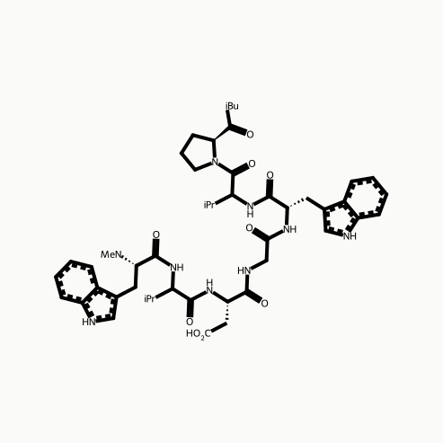 CCC(C)C(=O)[C@@H]1CCCN1C(=O)C(NC(=O)[C@H](Cc1c[nH]c2ccccc12)NC(=O)CNC(=O)[C@H](CC(=O)O)NC(=O)C(NC(=O)[C@H](Cc1c[nH]c2ccccc12)NC)C(C)C)C(C)C